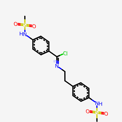 CS(=O)(=O)Nc1ccc(CC/N=C(\Cl)c2ccc(NS(C)(=O)=O)cc2)cc1